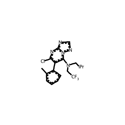 Cc1ccccc1-c1c(Cl)nc2ncnn2c1N(CC(C)C)CC(F)(F)F